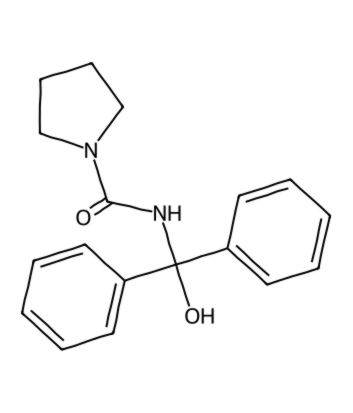 O=C(NC(O)(c1ccccc1)c1ccccc1)N1CCCC1